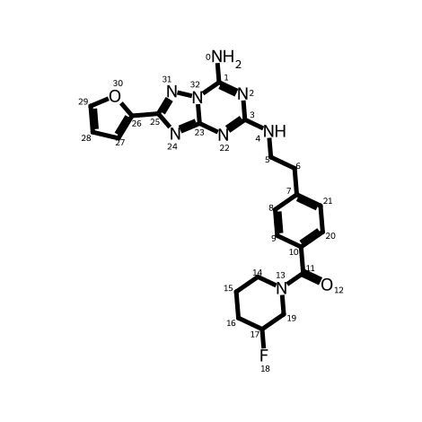 Nc1nc(NCCc2ccc(C(=O)N3CCCC(F)C3)cc2)nc2nc(-c3ccco3)nn12